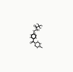 CN1CCN(C(=O)c2ccc(CNC(=O)C(C)(C)C)cc2)CC1